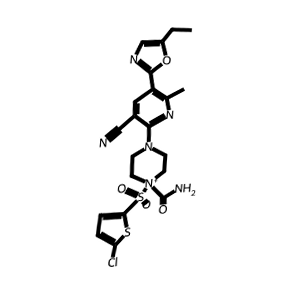 CCc1cnc(-c2cc(C#N)c(N3CC[N+](C(N)=O)(S(=O)(=O)c4ccc(Cl)s4)CC3)nc2C)o1